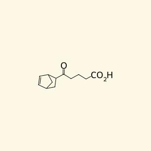 O=C(O)CCCC(=O)C1CC2C=CC1C2